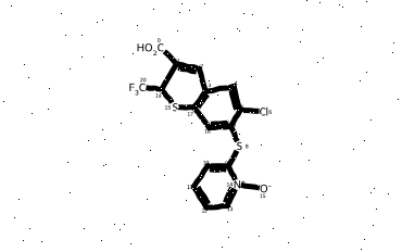 O=C(O)C1=Cc2cc(Cl)c(Sc3cccc[n+]3[O-])cc2SC1C(F)(F)F